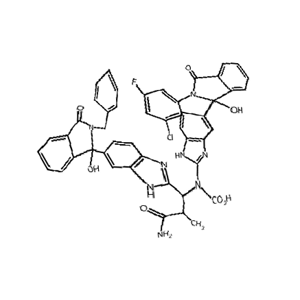 CC(C(N)=O)C(c1nc2ccc(C3(O)c4ccccc4C(=O)N3Cc3ccccc3)cc2[nH]1)N(C(=O)O)c1nc2cc(C3(O)c4ccccc4C(=O)N3c3cc(F)cc(Cl)c3)ccc2[nH]1